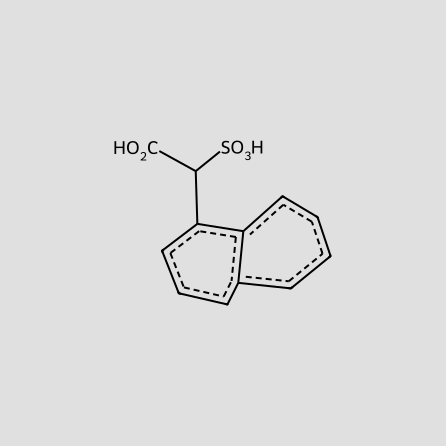 O=C(O)C(c1cccc2ccccc12)S(=O)(=O)O